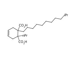 CCCC1(C(=O)O)CC=CCC1(CCCCCCCCCC(C)C)C(=O)O